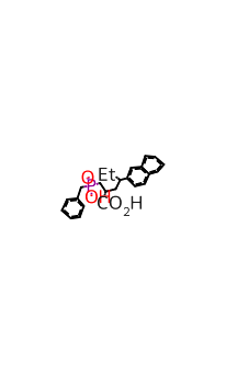 CCC(CC(CP(=O)(O)Cc1ccccc1)C(=O)O)c1ccc2ccccc2c1